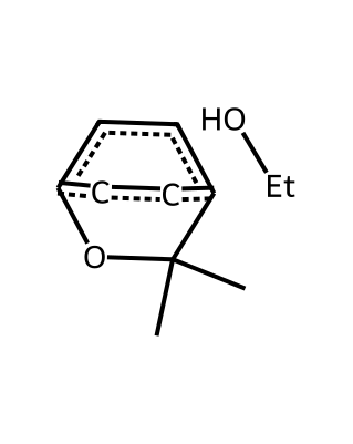 CC1(C)Oc2ccc1cc2.CCO